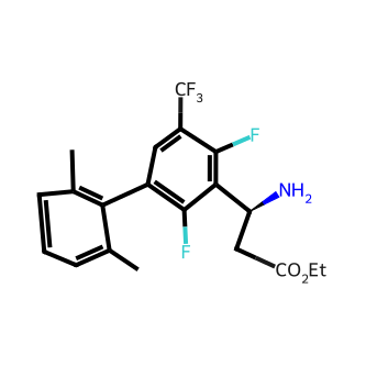 CCOC(=O)C[C@H](N)c1c(F)c(-c2c(C)cccc2C)cc(C(F)(F)F)c1F